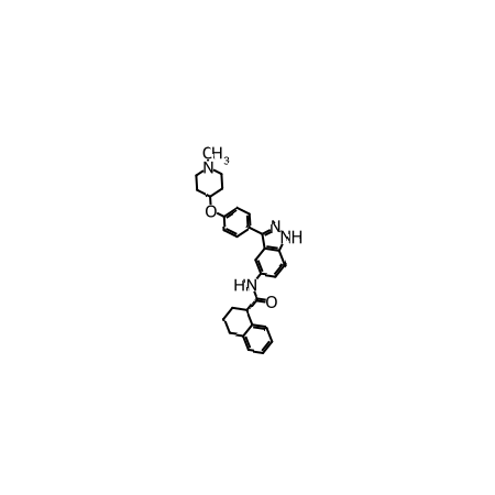 CN1CCC(Oc2ccc(-c3n[nH]c4ccc(NC(=O)C5CCCc6ccccc65)cc34)cc2)CC1